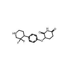 O=C1CCC(Oc2ccc(C3CCNCC3(F)F)cc2)C(=O)N1